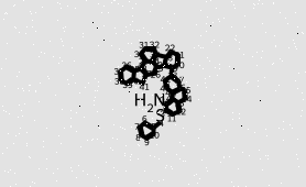 Nc1c(SCc2ccccc2)ccc2ccc3cc(-c4cccc5c4-c4cc6c(c7cccc-5c47)-c4ccccc4C6)ccc3c12